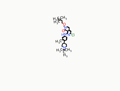 Cc1cc(Nc2nc(Cl)cc3ccn(COCC[Si](C)(C)C)c(=O)c23)ccc1C1CCN(C(C)(C)C)CC1